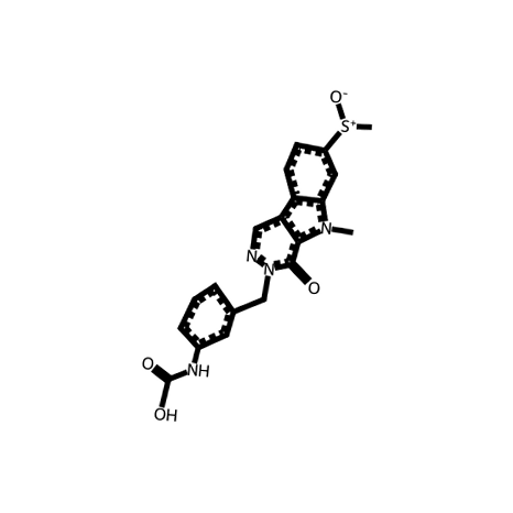 Cn1c2cc([S+](C)[O-])ccc2c2cnn(Cc3cccc(NC(=O)O)c3)c(=O)c21